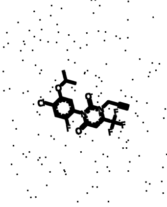 C#CCn1c(C(F)(F)F)cc(=O)n(-c2cc(OC(C)C)c(Cl)cc2F)c1=O